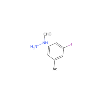 CC(=O)c1cccc(I)c1.NNC=O